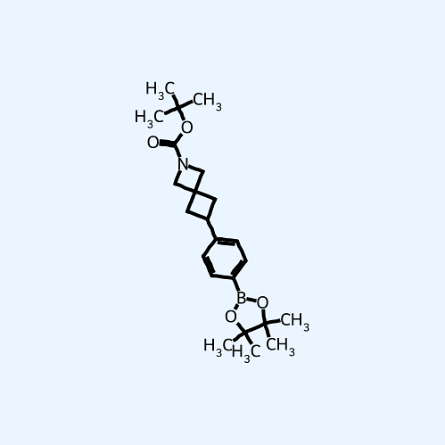 CC(C)(C)OC(=O)N1CC2(CC(c3ccc(B4OC(C)(C)C(C)(C)O4)cc3)C2)C1